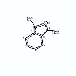 CCc1oc(CC)c2ccccc12